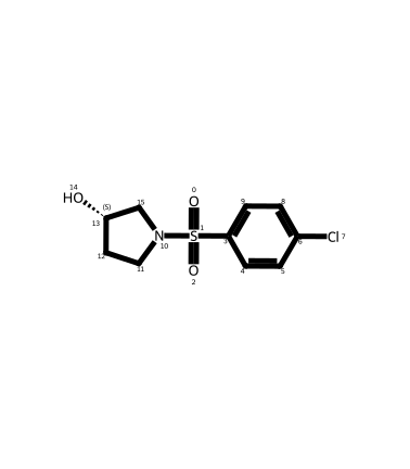 O=S(=O)(c1ccc(Cl)cc1)N1CC[C@H](O)C1